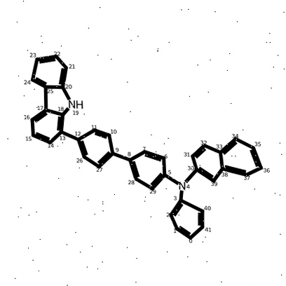 c1ccc(N(c2ccc(-c3ccc(-c4cccc5c4[nH]c4ccccc45)cc3)cc2)c2ccc3ccccc3c2)cc1